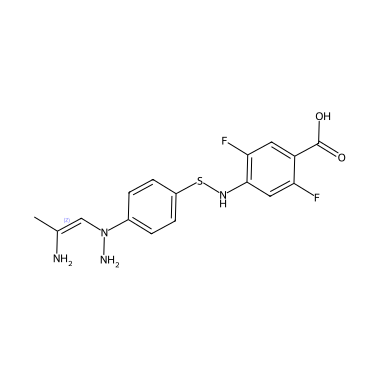 C/C(N)=C/N(N)c1ccc(SNc2cc(F)c(C(=O)O)cc2F)cc1